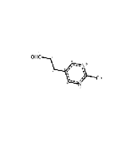 O=CCCc1cnc(Cl)nc1